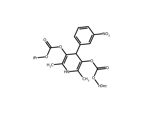 CCCCCCCCCCOC(=O)OC1=C(C)NC(C)=C(OC(=O)OC(C)C)C1c1cccc([N+](=O)[O-])c1